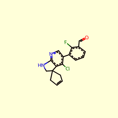 O=Cc1cccc(-c2cnc3c(c2Cl)C2(CC=CC2)CN3)c1F